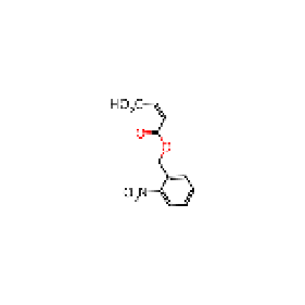 O=C(O)/C=C\C(=O)OCc1ccccc1[N+](=O)[O-]